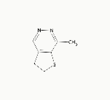 Cc1nncc2c1SCC2